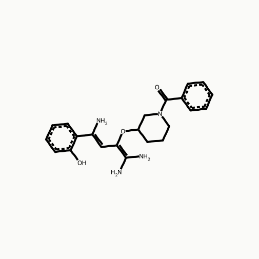 NC(N)=C(/C=C(\N)c1ccccc1O)OC1CCCN(C(=O)c2ccccc2)C1